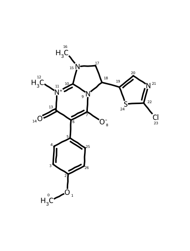 COc1ccc(-c2c([O-])n3c([n+](C)c2=O)N(C)CC3c2cnc(Cl)s2)cc1